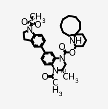 CC(=O)N1c2ccc(-c3ccc4c(c3)CCN4S(C)(=O)=O)cc2N(C(=O)OC2CCCC3(CCCCCCCC3)N2)C[C@@H]1C